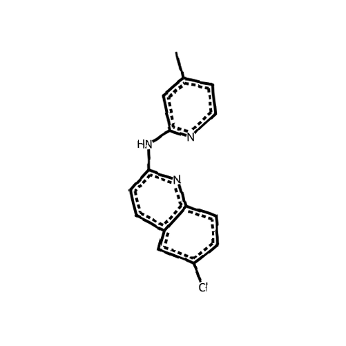 Cc1ccnc(Nc2ccc3cc(Cl)ccc3n2)c1